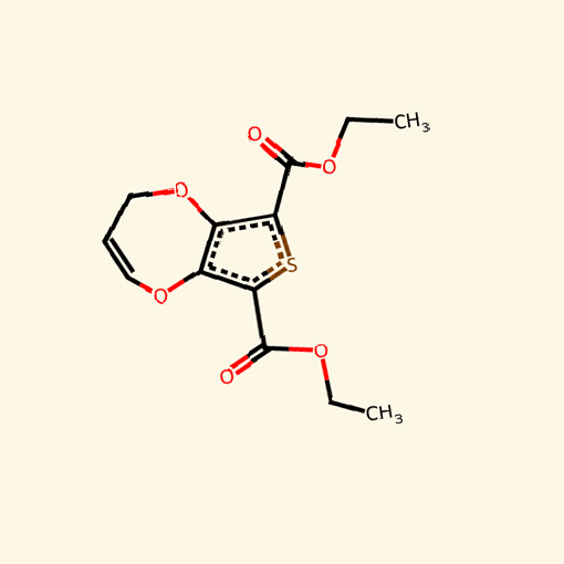 CCOC(=O)c1sc(C(=O)OCC)c2c1OC=CCO2